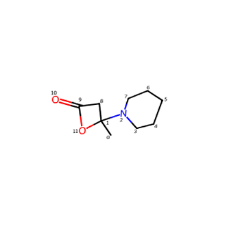 CC1(N2CCCCC2)CC(=O)O1